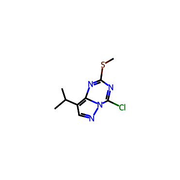 CSc1nc(Cl)n2ncc(C(C)C)c2n1